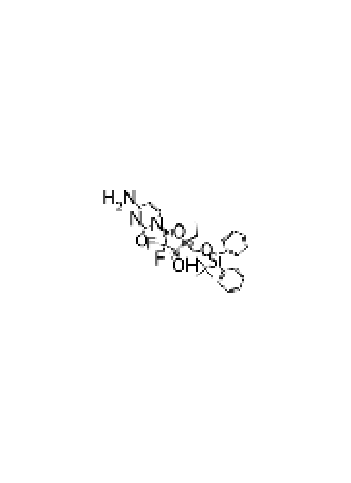 CC[C@]1(CO[Si](c2ccccc2)(c2ccccc2)C(C)(C)C)O[C@@H](n2ccc(N)nc2=O)C(F)(F)[C@@H]1O